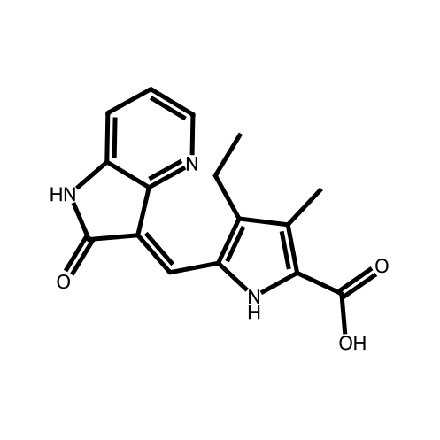 CCc1c(C=C2C(=O)Nc3cccnc32)[nH]c(C(=O)O)c1C